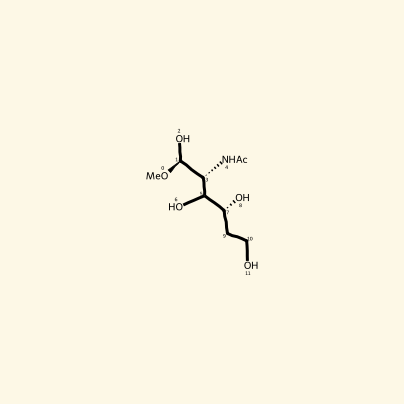 CO[C@@H](O)[C@H](NC(C)=O)C(O)[C@H](O)CCO